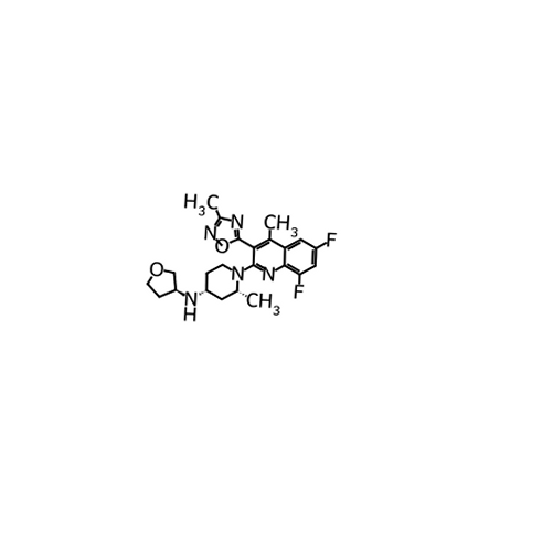 Cc1noc(-c2c(N3CC[C@@H](N[C@H]4CCOC4)C[C@H]3C)nc3c(F)cc(F)cc3c2C)n1